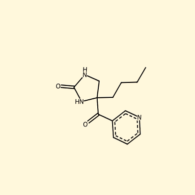 CCCCC1(C(=O)c2cccnc2)CNC(=O)N1